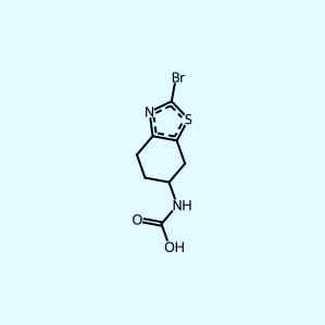 O=C(O)NC1CCc2nc(Br)sc2C1